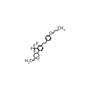 C=CC1CCC(c2ccc(CCc3ccc(OCCCC)cc3)c(F)c2C(F)(F)F)CO1